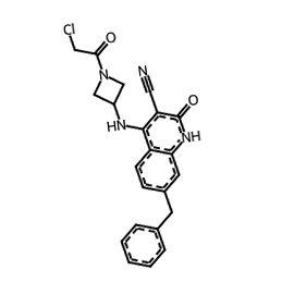 N#Cc1c(NC2CN(C(=O)CCl)C2)c2ccc(Cc3ccccc3)cc2[nH]c1=O